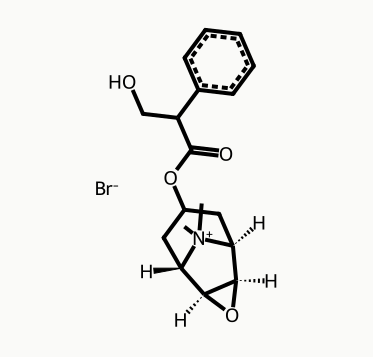 C[N+]1(C)[C@H]2CC(OC(=O)C(CO)c3ccccc3)C[C@H]1[C@H]1O[C@H]12.[Br-]